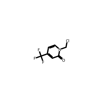 O=c1cc(C(F)(F)F)ccn1CCl